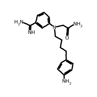 N=C(N)c1cccc(N(CCCCc2ccc(N)cc2)CC(N)=O)c1